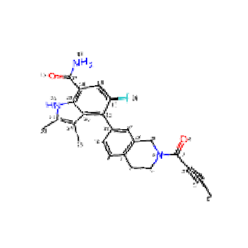 CC#CC(=O)N1CCc2ccc(-c3c(F)cc(C(N)=O)c4[nH]c(C)c(C)c34)cc2C1